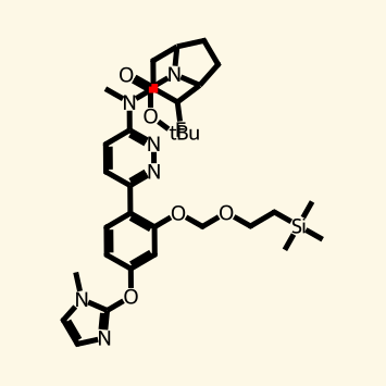 CN(c1ccc(-c2ccc(Oc3nccn3C)cc2OCOCC[Si](C)(C)C)nn1)C1CC2CCC(C1F)N2C(=O)OC(C)(C)C